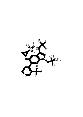 CC(C)(C)Cn1cc([C@H](NS(=O)(=O)C2CC2)C(F)(F)F)c2cc(F)c(-c3ccncc3C(F)(F)F)cc21